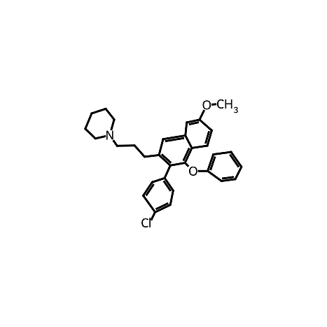 COc1ccc2c(Oc3ccccc3)c(-c3ccc(Cl)cc3)c(CCCN3CCCCC3)cc2c1